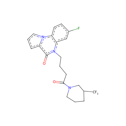 O=C(CCCn1c(=O)c2cccn2c2ccc(F)cc21)N1CCCC(C(F)(F)F)C1